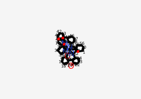 c1ccc(-c2nc(-c3ccccc3)nc(-c3cccc4oc5cccc(-c6cccc7c6oc6cccc(-n8c9ccccc9c9ccccc98)c67)c5c34)n2)cc1